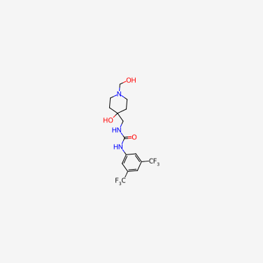 O=C(NCC1(O)CCN(CO)CC1)Nc1cc(C(F)(F)F)cc(C(F)(F)F)c1